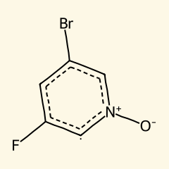 [O-][n+]1[c]c(F)cc(Br)c1